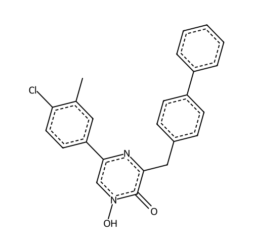 Cc1cc(-c2cn(O)c(=O)c(Cc3ccc(-c4ccccc4)cc3)n2)ccc1Cl